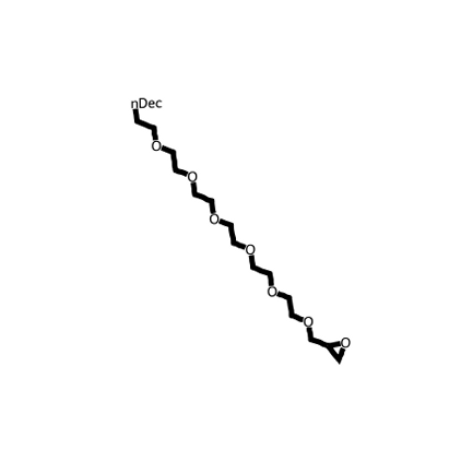 CCCCCCCCCCCCOCCOCCOCCOCCOCCOCC1CO1